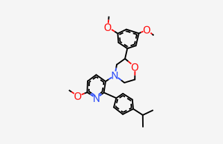 COc1cc(OC)cc(C2CN(c3ccc(OC)nc3-c3ccc(C(C)C)cc3)CCO2)c1